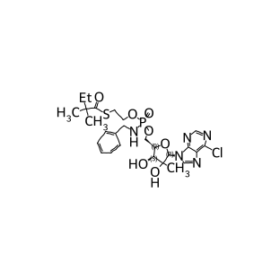 CCC(C)(C)C(=O)SCCOP(=O)(NCc1ccccc1)OC[C@H]1O[C@@H](n2cnc3c(Cl)ncnc32)C(C)(O)[C@H]1O